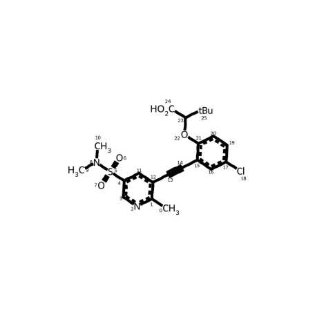 Cc1ncc(S(=O)(=O)N(C)C)cc1C#Cc1cc(Cl)ccc1OC(C(=O)O)C(C)(C)C